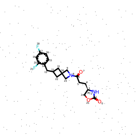 O=C1N[C@H](CCC(=O)N2CC3(CC(Cc4ccc(F)cc4F)C3)C2)CO1